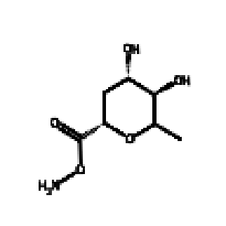 CC1O[C@H](C(=O)ON)C[C@H](O)[C@H]1O